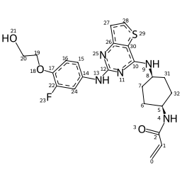 C=CC(=O)N[C@H]1CC[C@@H](Nc2nc(Nc3ccc(OCCO)c(F)c3)nc3ccsc23)CC1